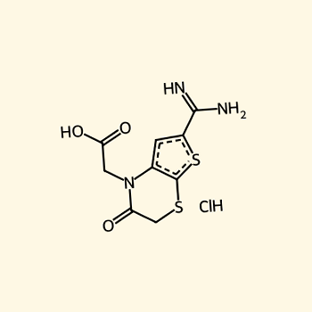 Cl.N=C(N)c1cc2c(s1)SCC(=O)N2CC(=O)O